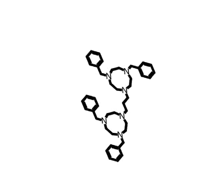 c1ccc(CN2CCN(CCCN3CCN(Cc4ccccc4)CCN(Cc4ccccc4)CC3)CCN(Cc3ccccc3)CC2)cc1